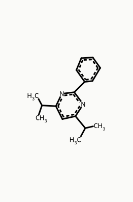 CC(C)c1cc(C(C)C)nc(-c2ccccc2)n1